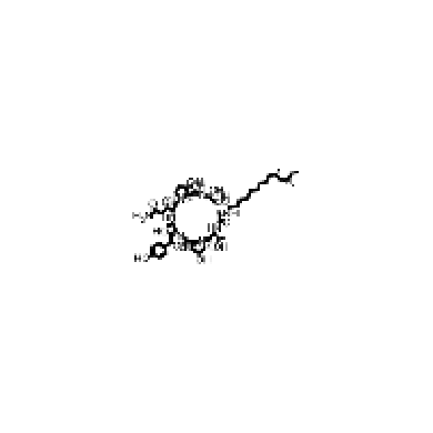 C=C1N[C@@H]([C@H](O)CC(N)=O)C(=O)N2CC[C@H](O)[C@H]2C(=O)N[C@H](O)[C@H](O)C[C@H](NC(=O)CCCCCCCC[C@@H](C)C[C@@H](C)CC)C(=O)N[C@@H]([C@@H](C)O)C(=O)N2C[C@H](O)C[C@H]2C(=O)N[C@H]1[C@H](O)[C@@H](O)c1ccc(O)cc1